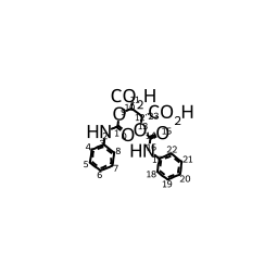 O=C(Nc1ccccc1)O[C@@H](C(=O)O)[C@@H](OC(=O)Nc1ccccc1)C(=O)O